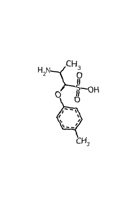 Cc1ccc(OC(C(C)N)S(=O)(=O)O)cc1